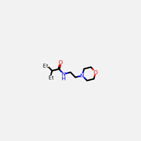 CCC(CC)C(=O)NCCN1CCOCC1